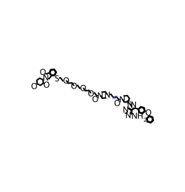 Nc1ncnc2c1c(-c1ccc(Oc3ccccc3)cc1)nn2[C@@H]1CCCN(C(=O)/C=C/CN2CCN(C(=O)COCCOCCOCCOCCSc3cccc4c3CN(C3CCC(=O)CC3=O)C4=O)CC2)C1